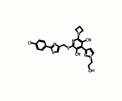 N#Cc1c(SCc2csc(-c3ccc(Cl)cc3)n2)nc(N2CCC2)c(C#N)c1-c1ccn(CCO)n1